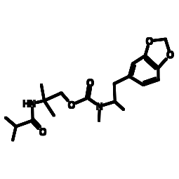 CC(C)C(=O)NC(C)(C)COC(=O)N(C)C(C)Cc1ccc2c(c1)OCO2